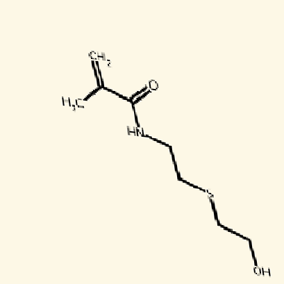 C=C(C)C(=O)NCCSCCO